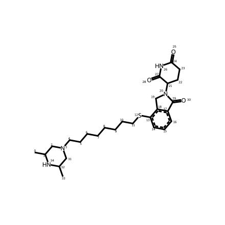 CC1CN(CCCCCCCCSc2cccc3c2CN(C2CCC(=O)NC2=O)C3=O)CC(C)N1